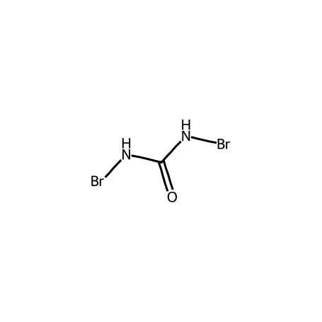 O=C(NBr)NBr